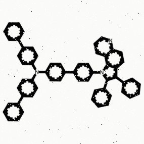 c1ccc(-c2ccc(N(c3ccc(-c4ccccc4)cc3)c3ccc(-c4ccc(-n5c(-c6ccccc6)c(-c6ccccc6)c6ccc7ncccc7c65)cc4)cc3)cc2)cc1